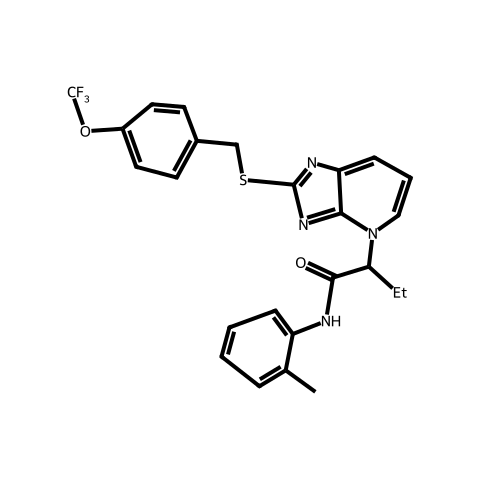 CCC(C(=O)Nc1ccccc1C)n1cccc2nc(SCc3ccc(OC(F)(F)F)cc3)nc1-2